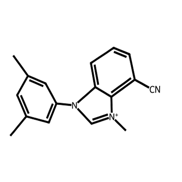 Cc1cc(C)cc(-n2c[n+](C)c3c(C#N)cccc32)c1